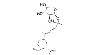 C=C[C@@]1(C)CC[C@H](/C(C)=C/C=C/C(C)(C)O[C@@H]2OC[C@@H](O)[C@@H](O)[C@@H]2O)C[C@@H]1C(=C)C